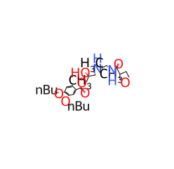 CCCCOc1cc(C)c(C(=O)OCC(O)CNC(C)(C)CNC(=O)C2CCOC2)cc1OCCCC